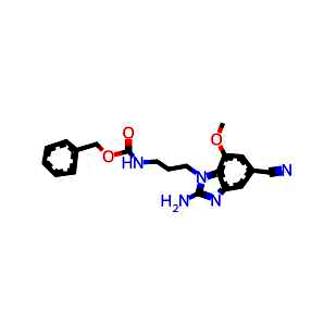 COc1cc(C#N)cc2nc(N)n(CCCNC(=O)OCc3ccccc3)c12